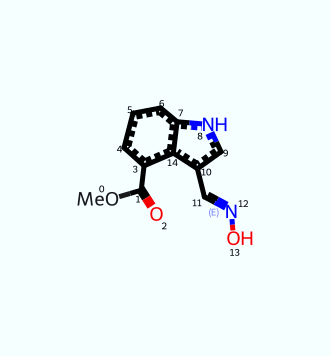 COC(=O)c1cccc2[nH]cc(/C=N/O)c12